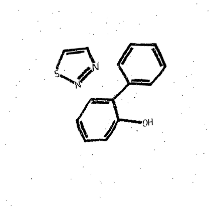 Oc1ccccc1-c1ccccc1.c1csnn1